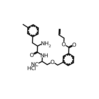 C=CCOC(=O)c1cccc(COCC(C#N)NC(=O)C(N)Cc2cccc(C)c2)c1.Cl